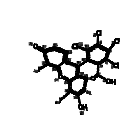 O=C(O)c1c(Cl)c(Cl)c(Cl)c(Cl)c1-c1c2ccc(=O)c(I)c-2oc2c(I)c(O)ccc12